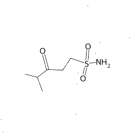 CC(C)C(=O)CCS(N)(=O)=O